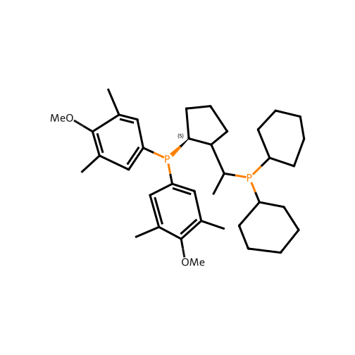 COc1c(C)cc(P(c2cc(C)c(OC)c(C)c2)[C@H]2CCCC2C(C)P(C2CCCCC2)C2CCCCC2)cc1C